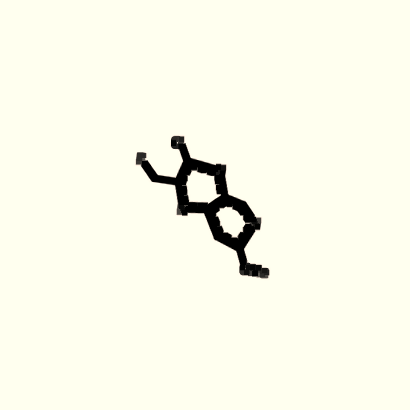 COc1cc2nc(CF)c(Cl)nc2cn1